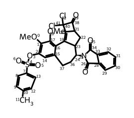 COc1c(OS(=O)(=O)c2ccc(C)cc2)cc2c(c1OC)C1=C3C(CC1[C@@H](N1C(=O)c4ccccc4C1=O)CC2)C(=O)C3(Cl)Cl